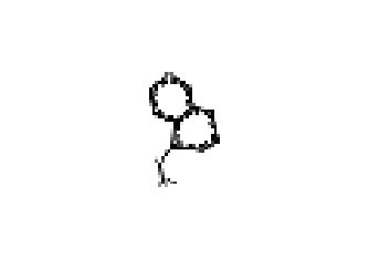 CCCOc1cccc2cnccc12